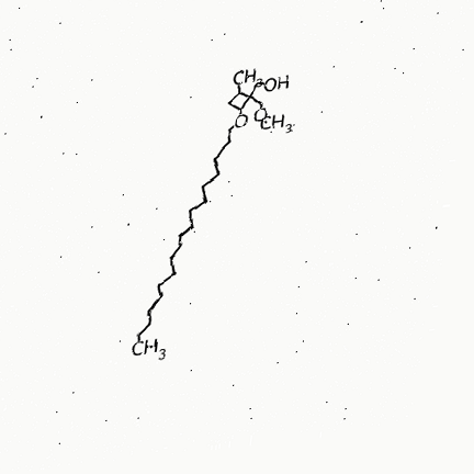 CCCCCCCCCCCCCCCCCCOC1CC(C)C1(CO)COC